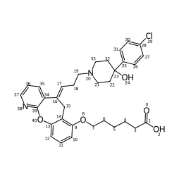 O=C(O)CCCCCOc1cccc2c1CC(=CCCN1CCC(O)(c3ccc(Cl)cc3)CC1)c1cccnc1O2